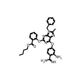 CCCCOC(=O)c1ccccc1Oc1nc(Oc2ccc(C(=N)N)c(N)c2)c2nc(C)n(Cc3ccccc3)c2n1